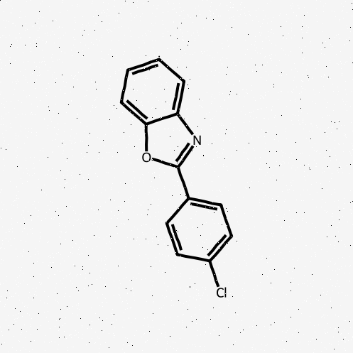 Clc1ccc(-c2nc3c[c]ccc3o2)cc1